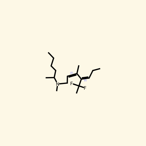 CC/C=C(\C(C)=C/CN(C)C(C)CCCC)C(C)(F)F